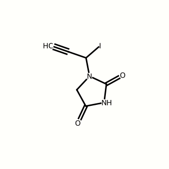 C#CC(I)N1CC(=O)NC1=O